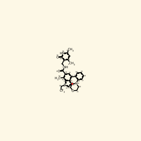 Cc1cc(C)c(CNC(=O)c2cc(-c3ccccc3N3CCOCC3)c3ccn(CC(F)(F)F)c3c2C)c(=O)[nH]1